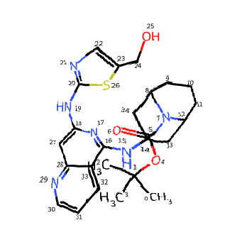 CC(C)(C)OC(=O)N1C2CCCC1CC(Nc1nc(Nc3ncc(CO)s3)cc3ncccc13)C2